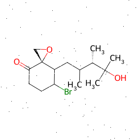 CC(CC1C(Br)CCC(=O)[C@@]12CO2)[C@H](C)C(C)(C)O